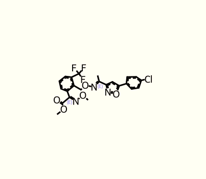 CO/N=C(/C(=O)OC)c1cccc(C(F)(F)F)c1CO/N=C(\C)c1cc(-c2ccc(Cl)cc2)on1